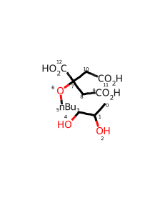 CC(O)CO.CCCCOC(CC(=O)O)(CC(=O)O)C(=O)O